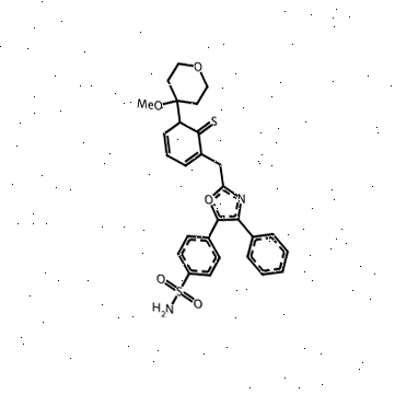 COC1(C2C=CC=C(Cc3nc(-c4ccccc4)c(-c4ccc(S(N)(=O)=O)cc4)o3)C2=S)CCOCC1